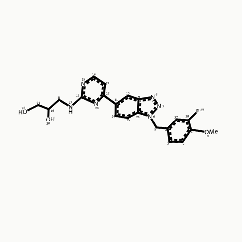 COc1ccc(Cn2nnc3cc(-c4ccnc(NCC(O)CO)n4)ccc32)cc1F